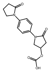 O=C(O)OC1CC(=O)N(c2ccc(N3CCCC3=O)cc2)C1